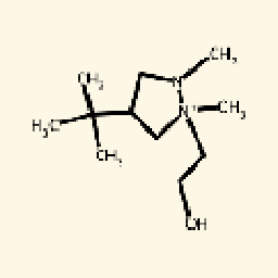 CN1CC(C(C)(C)C)C[N+]1(C)CCO